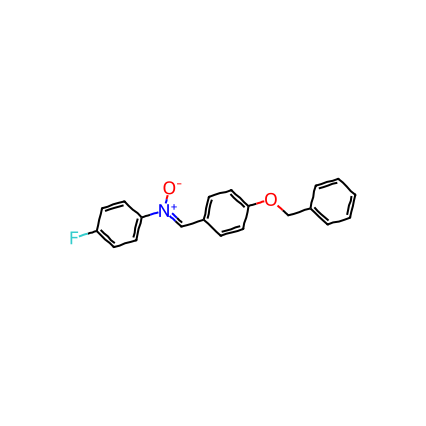 [O-][N+](=Cc1ccc(OCc2ccccc2)cc1)c1ccc(F)cc1